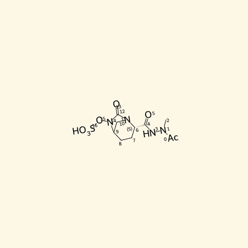 CC(=O)N(C)NC(=O)[C@@H]1CCC2CN1C(=O)N2OS(=O)(=O)O